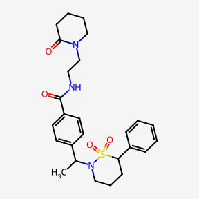 CC(c1ccc(C(=O)NCCN2CCCCC2=O)cc1)N1CCCC(c2ccccc2)S1(=O)=O